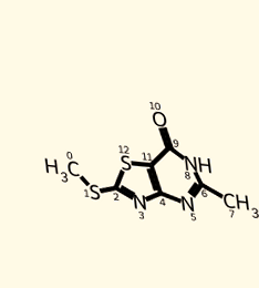 CSc1nc2nc(C)[nH]c(=O)c2s1